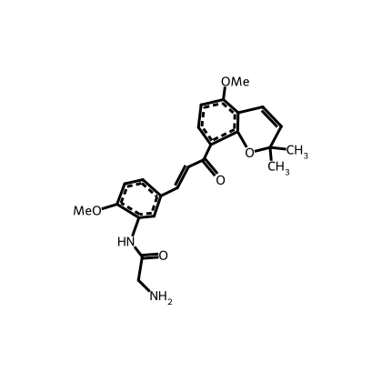 COc1ccc(C=CC(=O)c2ccc(OC)c3c2OC(C)(C)C=C3)cc1NC(=O)CN